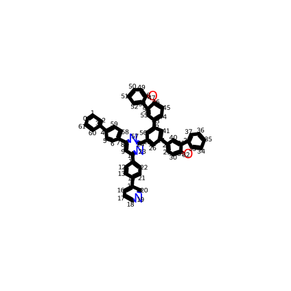 c1ccc(-c2ccc(-c3cc(-c4ccc(-c5cccnc5)cc4)nc(-c4cc(-c5ccc6oc7ccccc7c6c5)cc(-c5ccc6oc7ccccc7c6c5)c4)n3)cc2)cc1